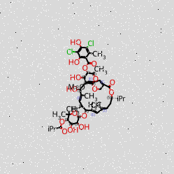 CC[C@H]1/C=C(\C)[C@@H](O)C/C=C/C=C(\CO[C@@H]2O[C@H](C)[C@@H](OC(=O)c3c(C)c(Cl)c(O)c(Cl)c3O)[C@H](O)[C@@H]2OC)C(=O)O[C@H](C(C)C)C/C=C(C)/C=C(\C)[C@@H]1O[C@@H]1OC(C)(C)[C@@H](OC(=O)C(C)C)[C@H](O)[C@@H]1O